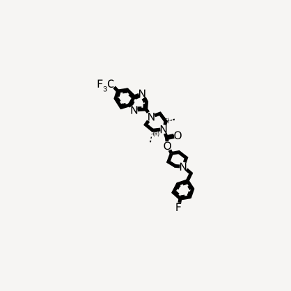 C[C@@H]1CN(c2cnc3cc(C(F)(F)F)ccc3n2)C[C@H](C)N1C(=O)OC1CCN(Cc2ccc(F)cc2)CC1